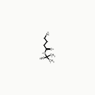 CCCC(C)(C)OC(=O)CCCC(C)=O